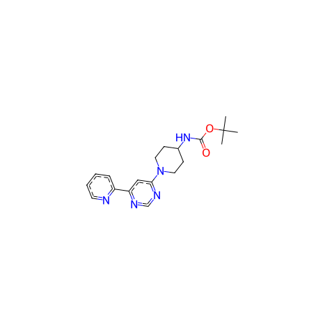 CC(C)(C)OC(=O)NC1CCN(c2cc(-c3ccccn3)ncn2)CC1